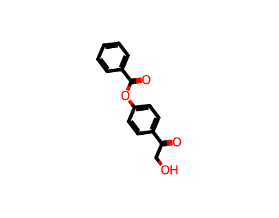 O=C(CO)c1ccc(OC(=O)c2ccccc2)cc1